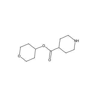 O=C(OC1CCOCC1)C1CCNCC1